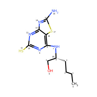 CCCC[C@H](CO)Nc1nc(S)nc2nc(N)sc12